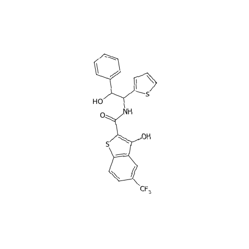 O=C(NC(c1cccs1)C(O)c1ccccc1)c1sc2ccc(C(F)(F)F)cc2c1O